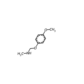 CNCOc1ccc(OC)cc1